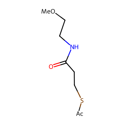 COCCNC(=O)CCSC(C)=O